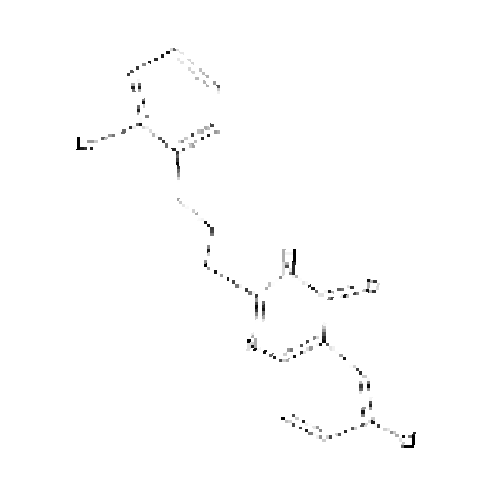 CCc1ccccc1CCCc1nc2ccc(Cl)cc2c(=O)[nH]1